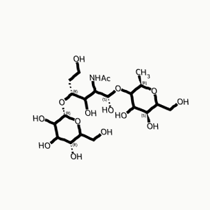 CC(=O)NC(C(O)[C@@H](CCO)O[C@@H]1OC(CO)[C@H](O)C(O)C1O)[C@@H](O)OC1C(O)[C@H](O)C(CO)O[C@@H]1C